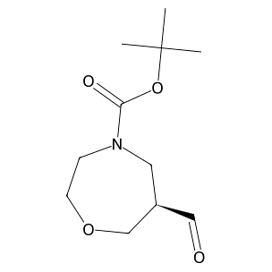 CC(C)(C)OC(=O)N1CCOC[C@H](C=O)C1